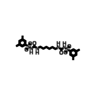 Cc1cc(C)cc(S(=O)(=O)NC(=O)NCCCCCCNC(=O)NS(=O)(=O)c2cc(C)cc(C)c2)c1